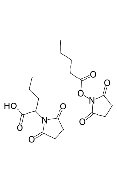 CCCC(C(=O)O)N1C(=O)CCC1=O.CCCCC(=O)ON1C(=O)CCC1=O